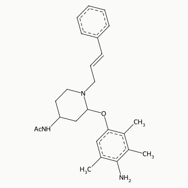 CC(=O)NC1CCN(C/C=C/c2ccccc2)C(Oc2cc(C)c(N)c(C)c2C)C1